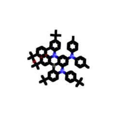 Cc1ccc(N(c2ccc(C)cc2)c2cc3c4c(c2)N(c2ccc(C(C)(C)C)cc2-c2ccc(C(C)(C)C)cc2)c2ccc(C(C)(C)C)cc2B4c2cc(C(C)(C)C)ccc2N3c2ccc(C(C)(C)C)cc2)cc1